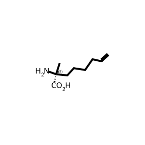 C=CCCCC[C@](C)(N)C(=O)O